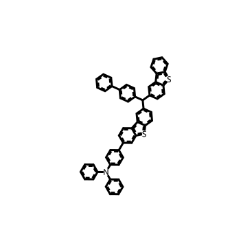 c1ccc(-c2ccc(C(c3ccc4sc5ccccc5c4c3)c3ccc4sc5cc(-c6ccc(N(c7ccccc7)c7ccccc7)cc6)ccc5c4c3)cc2)cc1